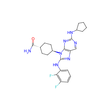 NC(=O)[C@H]1CC[C@H](n2c(Nc3cccc(F)c3F)nc3cnc(NC4CCCC4)nc32)CC1